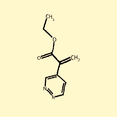 C=C(C(=O)OCC)c1ccnnc1